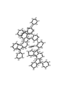 N#Cc1c(-c2ccc(-c3nc(-c4ccccc4)nc(-c4ccccc4)n3)c(-n3c4ccccc4c4c5c6ccccc6n(-c6ccccc6)c5ccc43)c2)cccc1-n1c2ccccc2c2c3c4ccccc4n(-c4ccccc4)c3ccc21